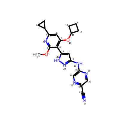 COc1nc(C2CC2)cc(OC2CCC2)c1-c1cc(Nc2cnc(C#N)cn2)n[nH]1